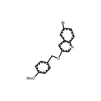 COc1ccc(COc2cnc3ccc(Br)cc3c2)cc1